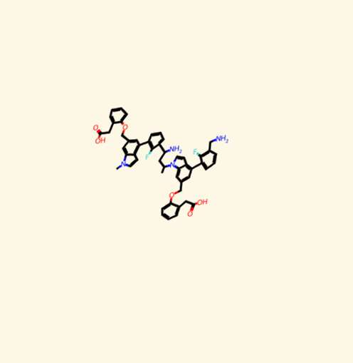 CC(CC(N)c1cccc(-c2cc(COc3ccccc3CC(=O)O)cc3c2ccn3C)c1F)n1ccc2c(-c3cccc(CN)c3F)cc(COc3ccccc3CC(=O)O)cc21